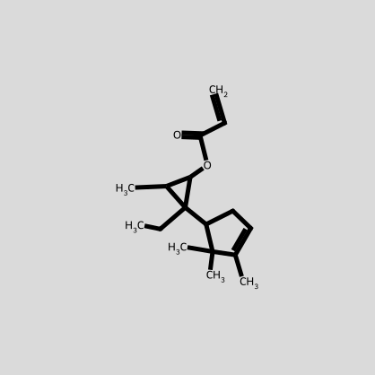 C=CC(=O)OC1C(C)C1(CC)C1CC=C(C)C1(C)C